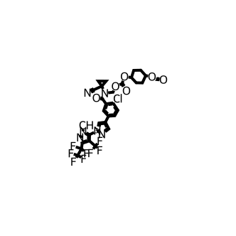 Cn1nc(C(F)(F)C(F)(F)F)c(C(F)(F)F)c1-n1cc(-c2ccc(Cl)c(C(=O)N(COC(=O)OC3CCC(OC=O)CC3)C3(C#N)CC3)c2)cn1